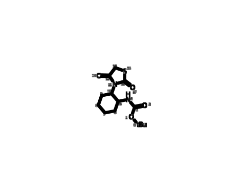 CC(C)(C)OC(=O)NC1CCCCC1N1C(=O)CSC1=O